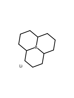 C1CC2CCCC3CCCC(C1)B23.[Li]